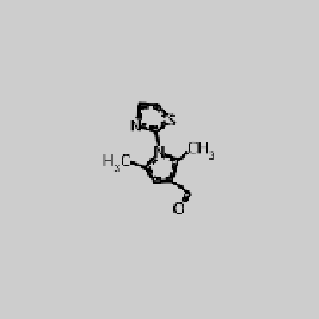 Cc1cc(C=O)c(C)n1-c1nccs1